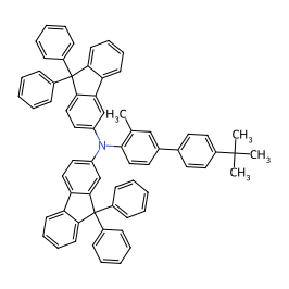 Cc1cc(-c2ccc(C(C)(C)C)cc2)ccc1N(c1ccc2c(c1)-c1ccccc1C2(c1ccccc1)c1ccccc1)c1ccc2c(c1)C(c1ccccc1)(c1ccccc1)c1ccccc1-2